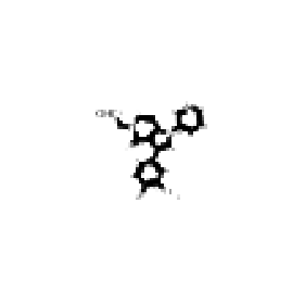 O=CCn1ccc2c(c(-c3ccc(F)c(C(F)(F)F)c3)cn2-c2cccnc2)c1=O